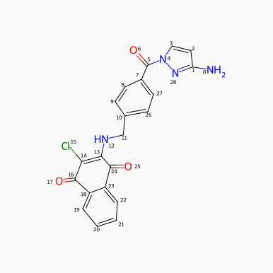 Nc1ccn(C(=O)c2ccc(CNC3=C(Cl)C(=O)c4ccccc4C3=O)cc2)n1